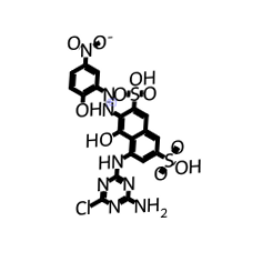 Nc1nc(Cl)nc(Nc2cc(S(=O)(=O)O)cc3cc(S(=O)(=O)O)c(/N=N/c4cc([N+](=O)[O-])ccc4O)c(O)c23)n1